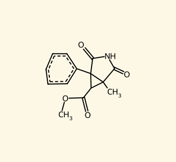 COC(=O)C1C2(C)C(=O)NC(=O)C12c1ccccc1